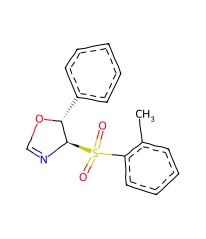 Cc1ccccc1S(=O)(=O)[C@H]1N=CO[C@@H]1c1ccccc1